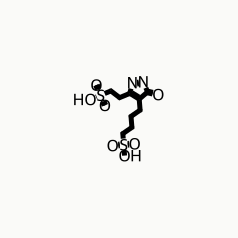 O=C1N=NC(CCS(=O)(=O)O)=C1CCCCS(=O)(=O)O